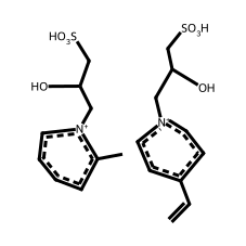 C=Cc1cc[n+](CC(O)CS(=O)(=O)O)cc1.Cc1cccc[n+]1CC(O)CS(=O)(=O)O